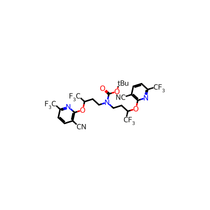 CC(C)(C)OC(=O)N(CCC(Oc1nc(C(F)(F)F)ccc1C#N)C(F)(F)F)CCC(Oc1nc(C(F)(F)F)ccc1C#N)C(F)(F)F